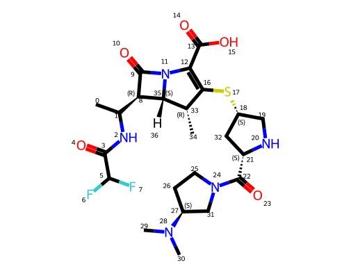 CC(NC(=O)C(F)F)[C@H]1C(=O)N2C(C(=O)O)=C(S[C@@H]3CN[C@H](C(=O)N4CC[C@H](N(C)C)C4)C3)[C@H](C)[C@H]12